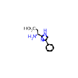 N[C@@H](CC(=O)O)c1nc(-c2ccccc2)c[nH]1